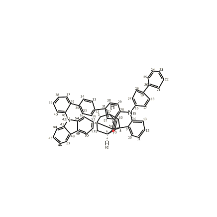 C1#C[C@H]2CC3C[C@H]1CC(c1ccccc1N(c1ccc(-c4ccccc4)cc1)c1ccc(-c4ccc(-c5ccccc5-n5c6ccccc6c6ccccc65)cc4)cc1)(C3)C2